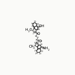 C[C@@H]1CN(C(=O)CCCC(=O)N2C[C@@H](CCl)c3c2cc(N)c2ccccc32)c2cc(O)c3ccccc3c21